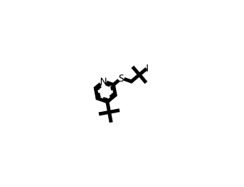 CC(C)(I)CSc1cc(C(C)(C)C)ccn1